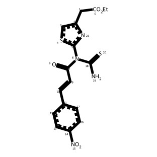 CCOC(=O)Cc1csc(N(C(=O)C=Cc2ccc([N+](=O)[O-])cc2)C(N)=S)n1